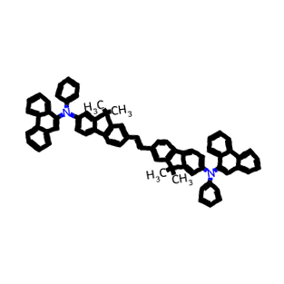 CC1(C)c2cc(/C=C/c3ccc4c(c3)C(C)(C)c3cc(N(c5ccccc5)c5cc6ccccc6c6ccccc56)ccc3-4)ccc2-c2ccc(N(c3ccccc3)c3cc4ccccc4c4ccccc34)cc21